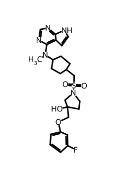 CN(c1ncnc2[nH]ccc12)C1CCC(CS(=O)(=O)N2CCC(O)(COc3cccc(F)c3)C2)CC1